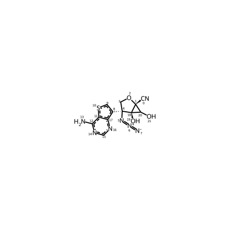 N#C[C@]12OC[C@@](N=[N+]=[N-])(c3csc4c(N)ncnc34)[C@@]1(O)C2O